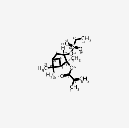 C=C(C)C(=O)O[C@@]1(C)C2CC(C[C@@H]1OS(=O)(=O)CC)C2(C)C